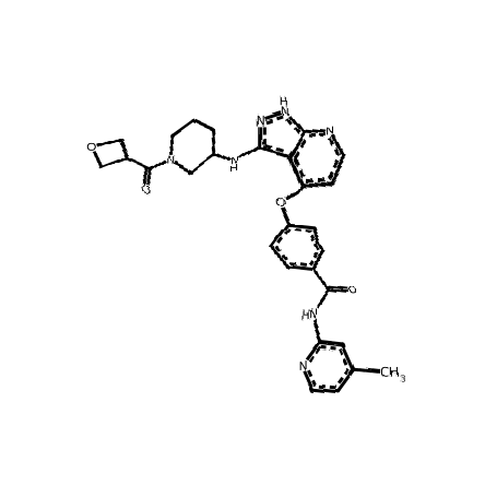 Cc1ccnc(NC(=O)c2ccc(Oc3ccnc4[nH]nc(NC5CCCN(C(=O)C6COC6)C5)c34)cc2)c1